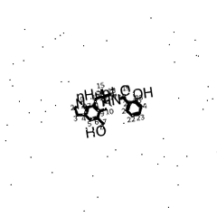 CCCCCCCN1CCc2cc(CO)c(C)c(CC(C)(C)CNC(=O)c3ccccc3O)c21